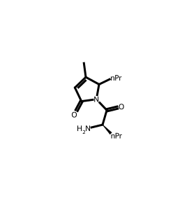 CCCC1C(C)=CC(=O)N1C(=O)[C@H](N)CCC